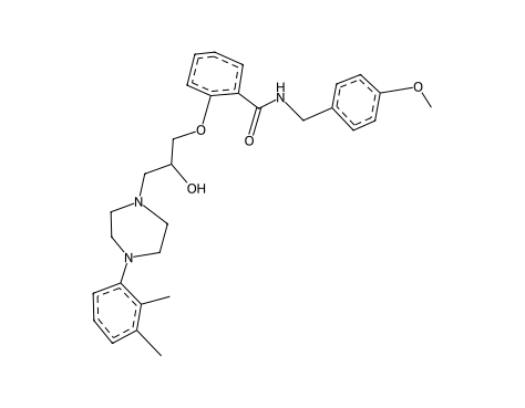 COc1ccc(CNC(=O)c2ccccc2OCC(O)CN2CCN(c3cccc(C)c3C)CC2)cc1